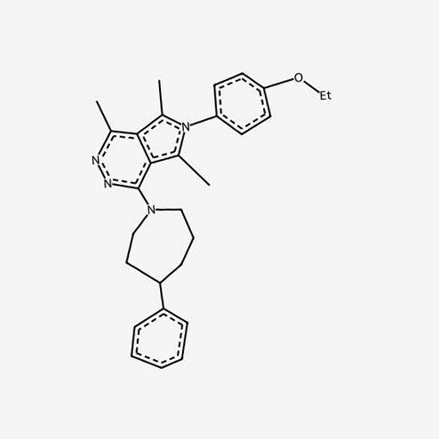 CCOc1ccc(-n2c(C)c3c(C)nnc(N4CCCC(c5ccccc5)CC4)c3c2C)cc1